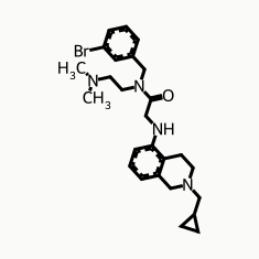 CN(C)CCN(Cc1cccc(Br)c1)C(=O)CNc1cccc2c1CCN(CC1CC1)C2